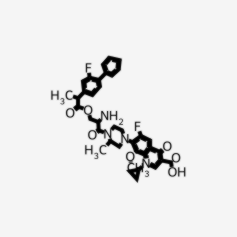 COc1c(N2CCN(C(=O)C(N)COC(=O)C(C)c3ccc(-c4ccccc4)c(F)c3)C(C)C2)c(F)cc2c(=O)c(C(=O)O)cn(C3CC3)c12